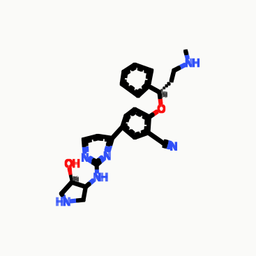 CNCC[C@H](Oc1ccc(-c2ccnc(NC3CNC[C@H]3O)n2)cc1C#N)c1ccccc1